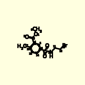 COC(=O)c1cc(S(=O)(=O)NCCBr)ccc1C